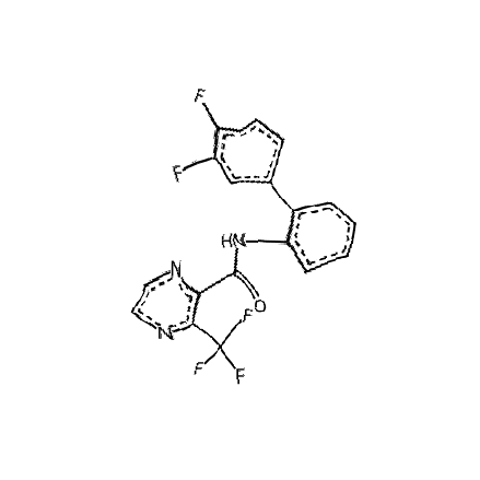 O=C(Nc1ccccc1-c1ccc(F)c(F)c1)c1nccnc1C(F)(F)F